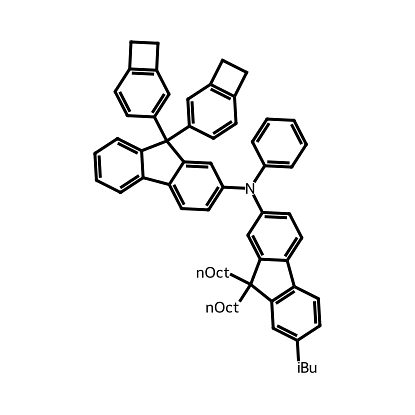 CCCCCCCCC1(CCCCCCCC)c2cc(C(C)CC)ccc2-c2ccc(N(c3ccccc3)c3ccc4c(c3)C(c3ccc5c(c3)CC5)(c3ccc5c(c3)CC5)c3ccccc3-4)cc21